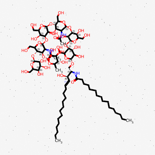 CCCCCCCCCCCCC/C=C/[C@@H](O)[C@H](CO[C@@H]1OC(CO)[C@@H](O[C@@H]2OC(CO)[C@H](O)[C@H](O[C@@H]3OC(CO)[C@@H](O[C@@H]4OC(CO)[C@H](O)[C@H](O[C@@H]5OC(CO)[C@@H](O[C@@H]6OC(CO)[C@H](O)[C@H](O)C6O)[C@H](O[C@H]6OC(C)[C@@H](O)C(O)[C@@H]6O)C5NC(C)=O)C4O)[C@H](O)C3NC(C)=O)C2O)[C@H](O)C1O)NC(=O)CCCCCCCCCCCCCCC